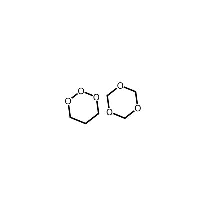 C1COOOC1.C1OCOCO1